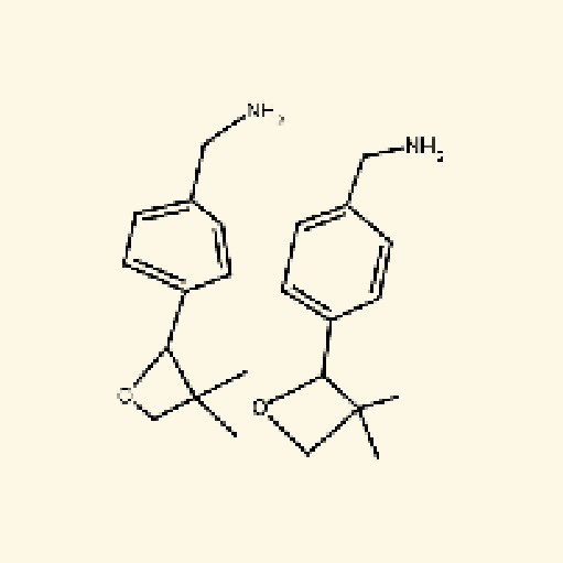 CC1(C)COC1c1ccc(CN)cc1.CC1(C)COC1c1ccc(CN)cc1